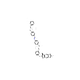 CCc1cccc(CNC(=O)c2ccc(/C=C/c3ccc(C(=O)NCc4cccc(Cn5c(=O)c6cc7c(=O)n(C)c(=O)c7cc6c5=O)c4)cc3)cc2)c1